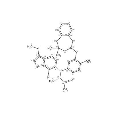 CCn1nnc2c(Cl)c([C@H](c3ccc(C)c(CN4Cc5cccnc5OC(C)(C)C4)c3)[C@@H](C)C(C)=O)ccc21